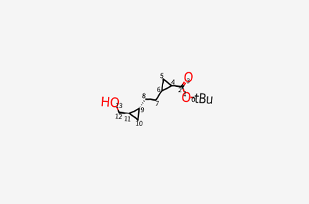 CC(C)(C)OC(=O)C1CC1CC[C@@H]1C[C@H]1CO